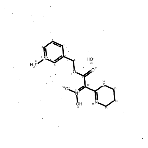 C[n+]1cccc(COC(=O)C(C2=NCCCS2)=[N+]([O-])O)c1.[OH-]